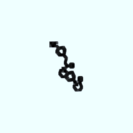 N#Cc1ccc(CCC(=O)N2CCCc3cc(N4CCCCC4=O)ccc32)cc1